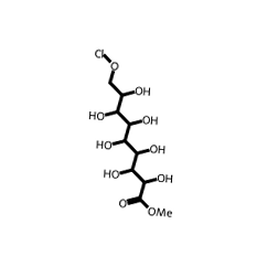 COC(=O)C(O)C(O)C(O)C(O)C(O)C(O)C(O)COCl